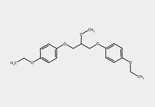 CCOc1ccc(OCC(COc2ccc(OCC)cc2)OC)cc1